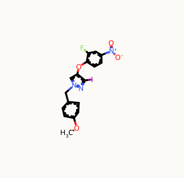 COc1ccc(Cn2cc(Oc3ccc([N+](=O)[O-])cc3F)c(I)n2)cc1